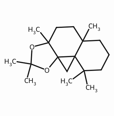 CC1(C)OC2(C)CCC3(C)CCCC(C)(C)C34CC24O1